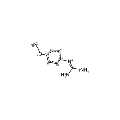 CCCOc1ccc(N=C(N)N)cc1